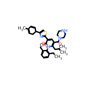 CCc1cccc(CC)c1-n1c(CC(C)C)c(C(=O)N2CCNCC2)cc(-c2nc(C3C=CC(C)=CC3)cs2)c1=O